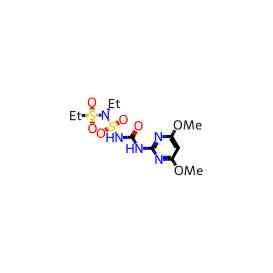 CCN(S(=O)(=O)CC)S(=O)(=O)NC(=O)Nc1nc(OC)cc(OC)n1